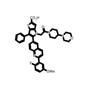 COc1ccc(F)c(-c2ccc3cc(-c4c(-c5ccccc5)c5sc(C(=O)O)cc5n4CC(=O)N4CCC(N5CCOCC5)CC4)ccc3n2)c1